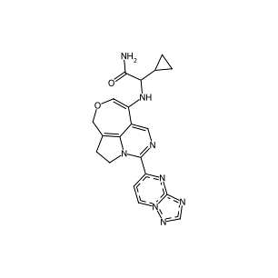 NC(=O)C(NC1=COCC2=C3C1=CN=C(c1ccn4ncnc4n1)N3CC2)C1CC1